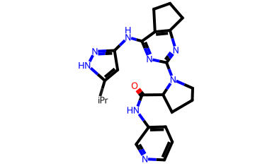 CC(C)c1cc(Nc2nc(N3CCCC3C(=O)Nc3cccnc3)nc3c2CCC3)n[nH]1